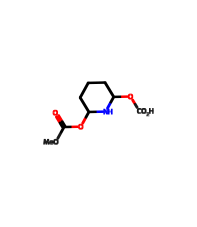 COC(=O)OC1CCCC(OC(=O)O)N1